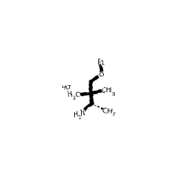 CCOCC(C)(C)[C@H](C)N.Cl